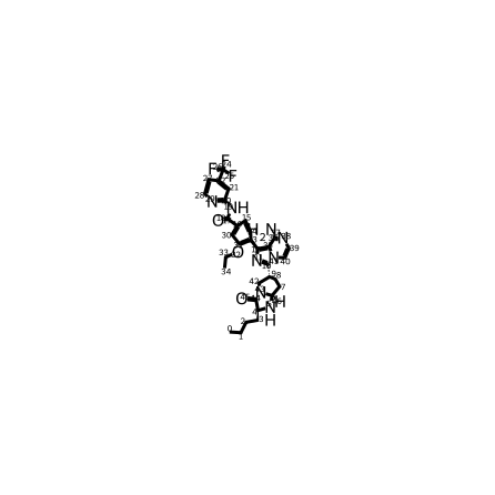 CCCC[C@@H]1N[C@@H]2CC[C@@H](c3nc(-c4ccc(C(=O)Nc5cc(C(F)(F)F)ccn5)cc4OCC)c4c(N)nccn34)CN2C1=O